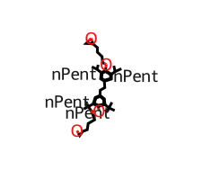 CCCCCC(C)(C)c1cc(CCc2cc(C(C)(C)CCCCC)c(OCCCCC3CO3)c(C(C)(C)CCCCC)c2)cc(C(C)(C)CCCCC)c1OCCCCC1CO1